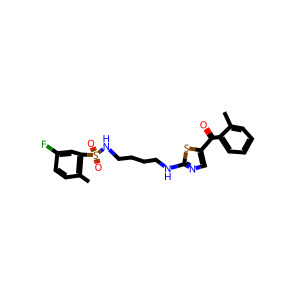 Cc1ccccc1C(=O)c1cnc(NCCCCNS(=O)(=O)c2cc(F)ccc2C)s1